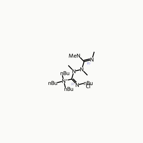 CCCC/N=C(\N(C)N(C)/C(=N/C)NC)[N+](CCCC)(CCCC)CCCC.[Cl-]